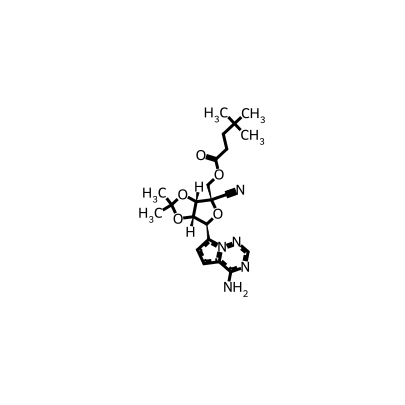 CC(C)(C)CCC(=O)OC[C@@]1(C#N)O[C@@H](c2ccc3c(N)ncnn23)[C@@H]2OC(C)(C)O[C@@H]21